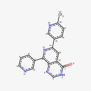 O=c1[nH]cnc2c(-c3cccnc3)nc(-c3ccc(C(F)(F)F)nc3)cc12